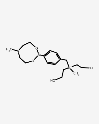 CN1CCOB(c2ccc(C[N+](C)(CCO)CCO)cc2)OCC1